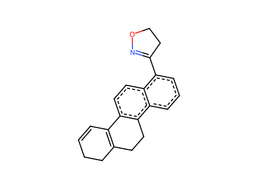 C1=CC2=C(CC1)CCc1c2ccc2c(C3=NOCC3)cccc12